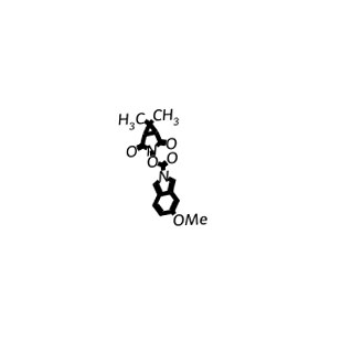 COc1ccc2cn(C(=O)ON3C(=O)C4C(C3=O)C4(C)C)cc2c1